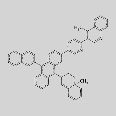 CC1c2ccccc2N=CC1c1ccc(-c2ccc3c(-c4ccc5ccccc5c4)c4ccccc4c(C4C=C5C=CC=CC5(C)CC4)c3c2)cn1